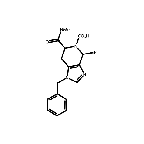 CNC(=O)[C@@H]1Cc2c(ncn2Cc2ccccc2)[C@H](C(C)C)N1C(=O)O